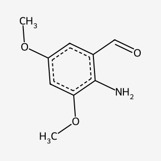 COc1cc(C=O)c(N)c(OC)c1